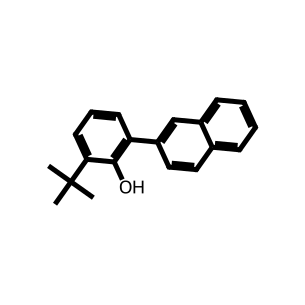 CC(C)(C)c1cccc(-c2ccc3ccccc3c2)c1O